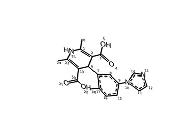 CC1=C(C(=O)O)C(c2cc(-n3ccnc3)ccc2C)C(C(=O)O)=C(C)N1